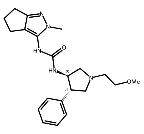 COCCN1C[C@H](NC(=O)Nc2c3c(nn2C)CCC3)[C@@H](c2ccccc2)C1